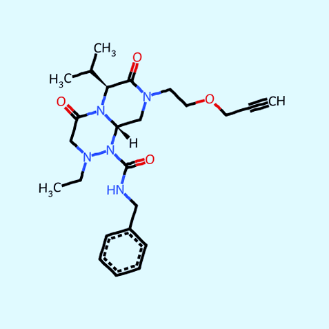 C#CCOCCN1C[C@H]2N(C(=O)CN(CC)N2C(=O)NCc2ccccc2)[C@@H](C(C)C)C1=O